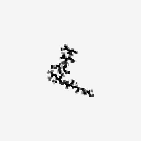 CC(C)CC(N)C(=O)O.CC(O)C(N)C(=O)O.NC(=O)CCC(N)C(=O)O.NC(CO)C(=O)O.NC(CS)C(=O)O.NCC(=O)O